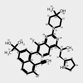 C#Cc1c(F)ccc2cc(C(C)(C)O)cc(-c3ncc4c(N(C)C[C@H]5CCCN5)nc(N5CCC(C)(O)CC5)nc4c3F)c12